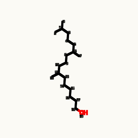 CC(C)CCCC(C)CCCC(C)CCCCCCO